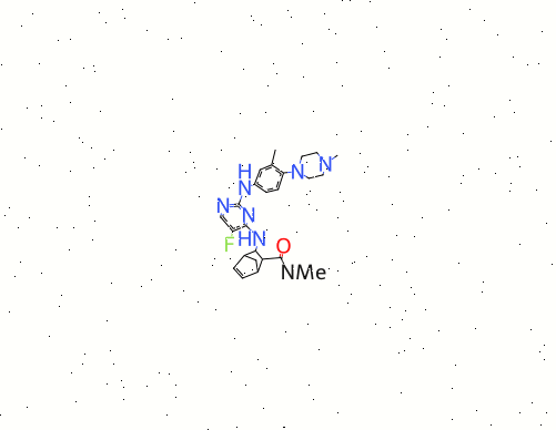 CNC(=O)C1C2C=CC(C2)C1Nc1nc(Nc2ccc(N3CCN(C)CC3)c(C)c2)ncc1F